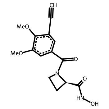 C#Cc1cc(C(=O)N2CC[C@@H]2C(=O)NO)cc(OC)c1OC